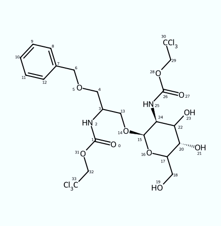 O=C(NC(COCc1ccccc1)CO[C@@H]1OC(CO)[C@@H](O)C(O)[C@@H]1NC(=O)OCC(Cl)(Cl)Cl)OCC(Cl)(Cl)Cl